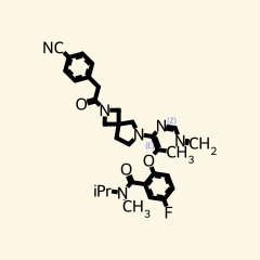 C=N/C=N\C(=C(/C)Oc1ccc(F)cc1C(=O)N(C)C(C)C)N1CCC2(CN(C(=O)Cc3ccc(C#N)cc3)C2)C1